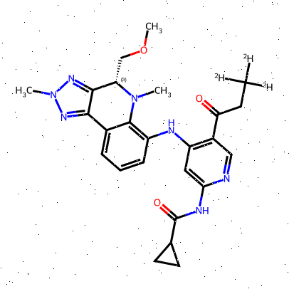 [2H]C([2H])([2H])CC(=O)c1cnc(NC(=O)C2CC2)cc1Nc1cccc2c1N(C)[C@@H](COC)c1nn(C)nc1-2